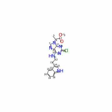 COC(=O)C(C)n1cnc2c(NCCc3c[nH]c4ccccc34)nc(Cl)nc21